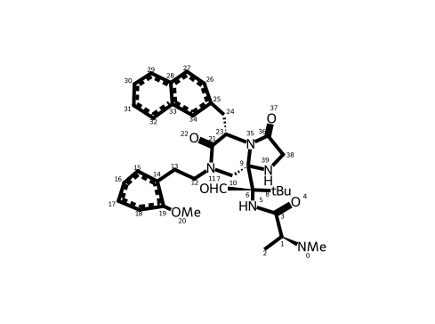 CN[C@@H](C)C(=O)N[C@@](C=O)(C(C)(C)C)[C@@]12CN(CCc3ccccc3OC)C(=O)[C@H](Cc3ccc4ccccc4c3)N1C(=O)CN2